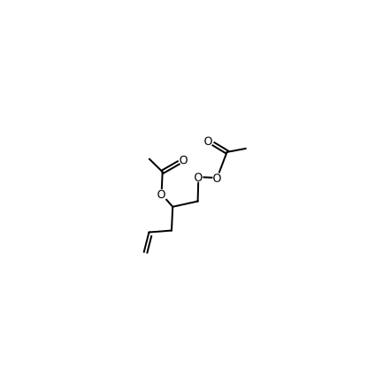 C=CCC(COOC(C)=O)OC(C)=O